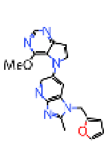 COc1ncnc2ccn(-c3cnc4nc(C)n(Cc5ccco5)c4c3)c12